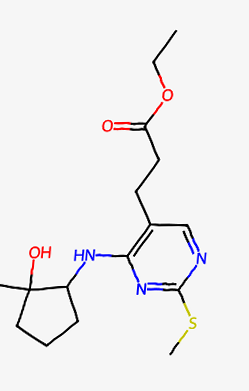 CCOC(=O)CCc1cnc(SC)nc1NC1CCCC1(C)O